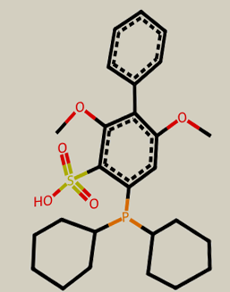 COc1cc(P(C2CCCCC2)C2CCCCC2)c(S(=O)(=O)O)c(OC)c1-c1ccccc1